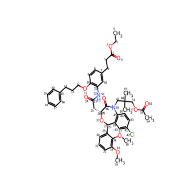 CCOC(=O)CCc1ccc(OCCCc2ccccc2)c(NC(=O)C[C@H]2O[C@H](c3cccc(OC)c3OC)c3cc(Cl)ccc3N(CC(C)(C)COC(C)=O)C2=O)c1